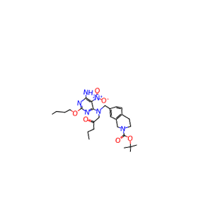 CCCCOc1nc(N)c([N+](=O)[O-])c(N(CC(=O)CCC)Cc2ccc3c(c2)CN(C(=O)OC(C)(C)C)CC3)n1